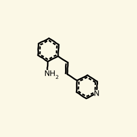 Nc1ccccc1/C=C/c1ccncc1